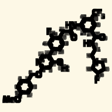 CCOc1cc(OCc2ccc(OC)cc2)ncc1-c1ccc(CC(=O)Nc2cc(C(=O)NCCN3CC[C@@H](F)C3)cc(C(F)(F)F)c2)c(F)c1